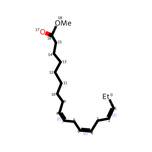 CC/C=C\C/C=C\C/C=C\CCCCCCCC(=O)OC